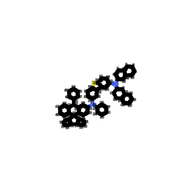 C1=C(N(c2ccc3ccccc3c2)c2ccc3sc4ccc(N(c5ccccc5)c5ccc6c(c5)C(c5ccccc5)c5ccccc5C65c6ccccc6-c6ccccc65)cc4c3c2)CCc2ccccc21